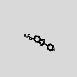 COc1ccc2oc(-c3ccncc3)nc2c1